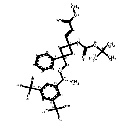 COC(=O)/C=C/C1(NC(=O)OC(C)(C)C)CC(CO[C@H](C)c2cc(C(F)(F)F)cc(C(F)(F)F)c2)(c2ccccc2)C1